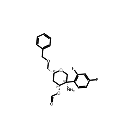 N[C@@]1(c2ccc(F)cc2F)CO[C@@H](COCc2ccccc2)C[C@H]1OC=O